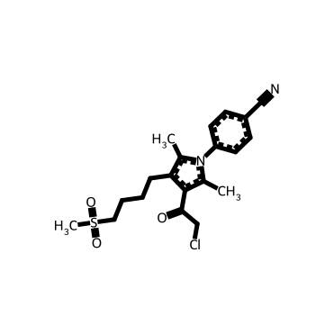 Cc1c(CCCCS(C)(=O)=O)c(C(=O)CCl)c(C)n1-c1ccc(C#N)cc1